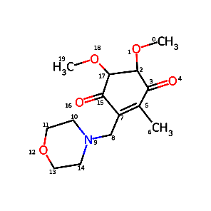 COC1C(=O)C(C)=C(CN2CCOCC2)C(=O)C1OC